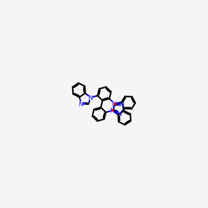 c1ccc(-n2cnc3ccccc32)c(-c2c(-n3cnc4ccccc43)cccc2-n2cnc3ccccc32)c1